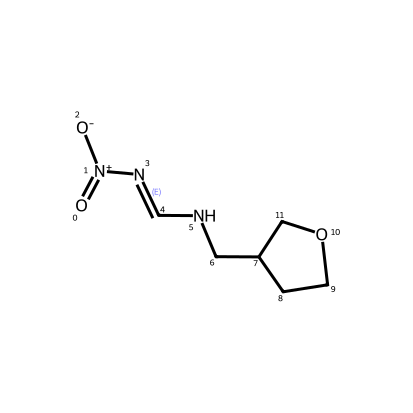 O=[N+]([O-])/N=C/NCC1CCOC1